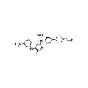 COc1cc(C2CCN(CCF)CC2)ccc1Nc1cc(Nc2cccc(N)c2)c(C)cn1